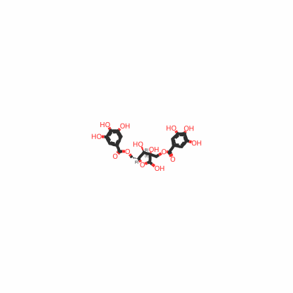 O=C(OC[C@H]1OC(O)[C@@](O)(COC(=O)c2cc(O)c(O)c(O)c2)[C@@H]1O)c1cc(O)c(O)c(O)c1